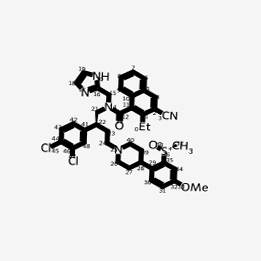 CCc1c(C#N)cc2ccccc2c1C(=O)N(Cc1ncc[nH]1)C[C@@H](CCN1CCC(c2ccc(OC)cc2[S@+](C)[O-])CC1)c1ccc(Cl)c(Cl)c1